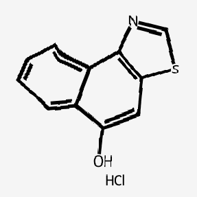 Cl.Oc1cc2scnc2c2ccccc12